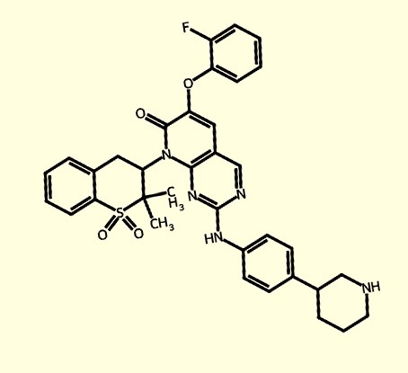 CC1(C)C(n2c(=O)c(Oc3ccccc3F)cc3cnc(Nc4ccc(C5CCCNC5)cc4)nc32)Cc2ccccc2S1(=O)=O